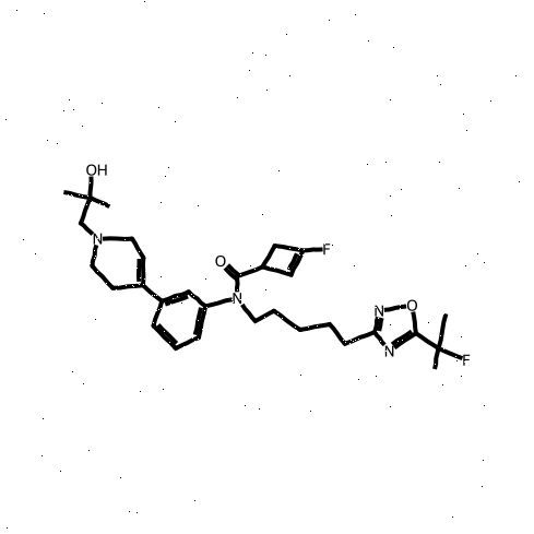 CC(C)(O)CN1CC=C(c2cccc(N(CCCCCc3noc(C(C)(C)F)n3)C(=O)C3C=C(F)C3)c2)CC1